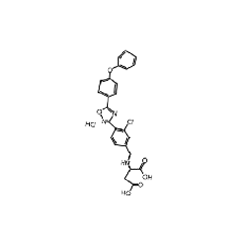 Cl.O=C(O)CC(NCc1ccc(-c2noc(-c3ccc(Oc4ccccc4)cc3)n2)c(Cl)c1)C(=O)O